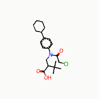 CC(C)(C)C(CN(C(=O)CCl)c1ccc(C2CCCCC2)cc1)C(=O)O